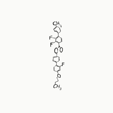 CCCCOc1ccc(-c2ccc(OC(=O)c3ccc(-c4ccc(C)cc4)c(F)c3F)cc2)c(F)c1